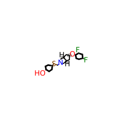 Oc1ccc(SCN2C[C@H]3C[C@H](Oc4ccc(F)cc4F)C[C@H]3C2)cc1